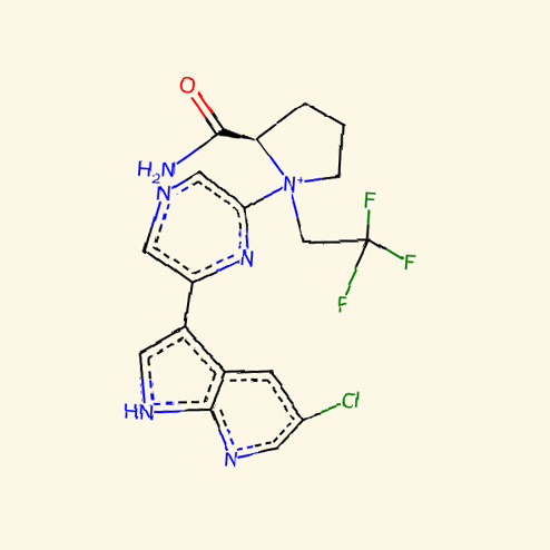 NC(=O)[C@H]1CCC[N+]1(CC(F)(F)F)c1cncc(-c2c[nH]c3ncc(Cl)cc23)n1